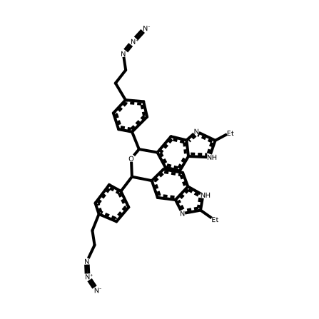 CCc1nc2cc(C(OC(c3ccc(CCN=[N+]=[N-])cc3)c3ccc4[nH]c(CC)nc4c3)c3ccc(CCN=[N+]=[N-])cc3)ccc2[nH]1